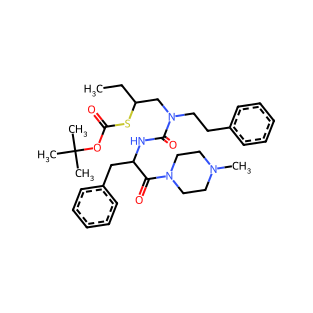 CCC(CN(CCc1ccccc1)C(=O)NC(Cc1ccccc1)C(=O)N1CCN(C)CC1)SC(=O)OC(C)(C)C